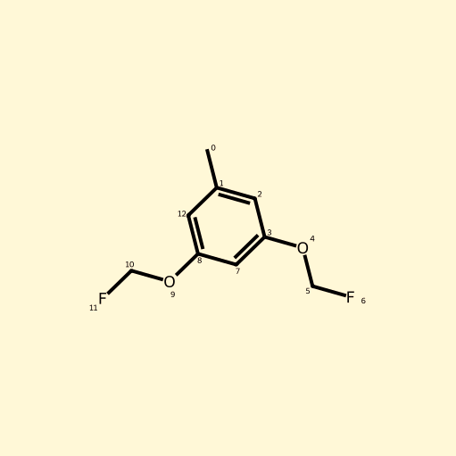 Cc1cc(OCF)cc(OCF)c1